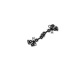 COc1ccc(-c2[nH]c(-c3ccc(C#Cc4ccc5c(c4)CN4CN5Cc5cc(C#Cc6ccc(-c7nc(-c8ccccc8Cl)c(-c8ccc(OC)c(OC)c8)[nH]7)cc6)ccc54)cc3)nc2-c2ccccc2Cl)cc1OC